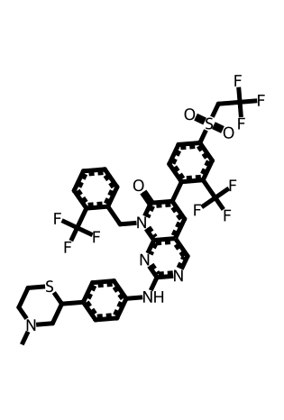 CN1CCSC(c2ccc(Nc3ncc4cc(-c5ccc(S(=O)(=O)CC(F)(F)F)cc5C(F)(F)F)c(=O)n(Cc5ccccc5C(F)(F)F)c4n3)cc2)C1